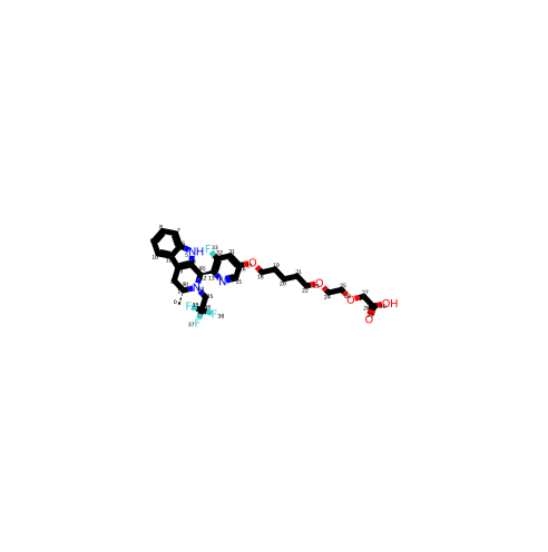 C[C@@H]1Cc2c([nH]c3ccccc23)[C@@H](c2ncc(OCCCCCOCCOCC(=O)O)cc2F)N1CC(F)(F)F